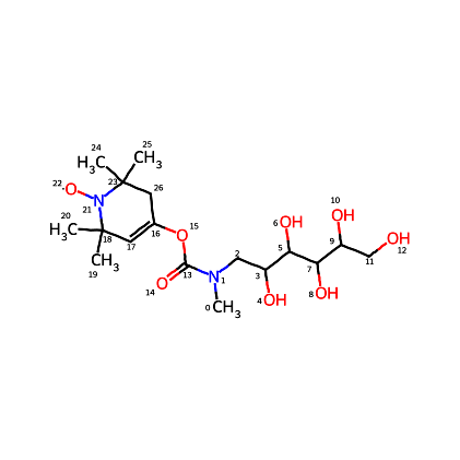 CN(CC(O)C(O)C(O)C(O)CO)C(=O)OC1=CC(C)(C)N([O])C(C)(C)C1